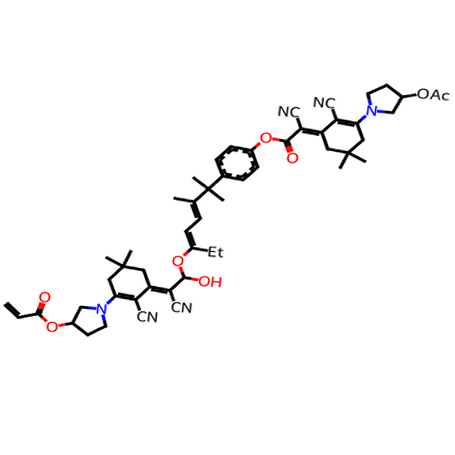 C=CC(=O)OC1CCN(C2=C(C#N)/C(=C(\C#N)C(O)O/C(=C/C=C(\C)C(C)(C)c3ccc(OC(=O)/C(C#N)=C4\CC(C)(C)CC(N5CCC(OC(C)=O)C5)=C4C#N)cc3)CC)CC(C)(C)C2)C1